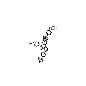 COc1ccc(-c2cc(CC(NC(=O)C3CCNCC3)c3ccn(-c4ccc(C(F)(F)F)cc4)c3)on2)cc1